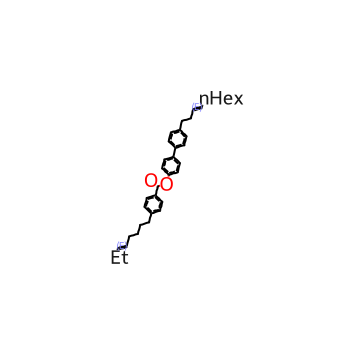 CC/C=C/CCCCc1ccc(C(=O)Oc2ccc(-c3ccc(CC/C=C/CCCCCC)cc3)cc2)cc1